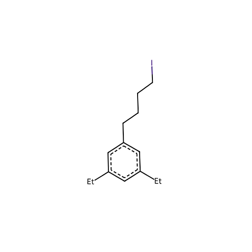 CCc1cc(CC)cc(CCCCI)c1